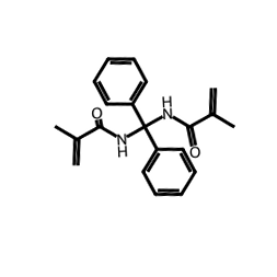 C=C(C)C(=O)NC(NC(=O)C(=C)C)(c1ccccc1)c1ccccc1